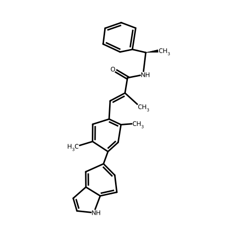 C/C(=C\c1cc(C)c(-c2ccc3[nH]ccc3c2)cc1C)C(=O)N[C@H](C)c1ccccc1